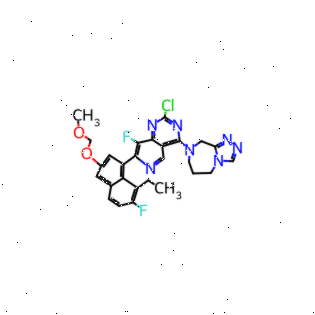 CCc1c(F)ccc2cc(OCOC)cc(-c3ncc4c(N5CCCn6cnnc6C5)nc(Cl)nc4c3F)c12